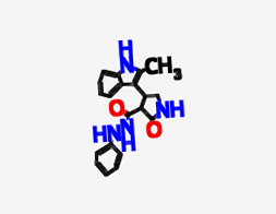 Cc1[nH]c2ccccc2c1C1CNC(=O)C1C(=O)NNc1ccccc1